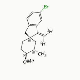 [2H]C([2H])=C1c2cc(Br)ccc2C[C@@]12CC[C@H](OC)[C@@H](C)C2